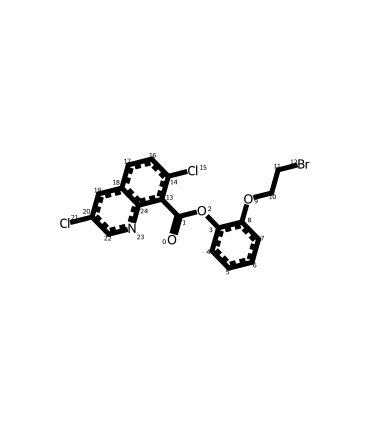 O=C(Oc1ccccc1OCCBr)c1c(Cl)ccc2cc(Cl)cnc12